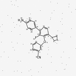 N#Cc1cc(Oc2c(C3CCC3)ccc(-c3cnc(N)cn3)c2F)ccn1